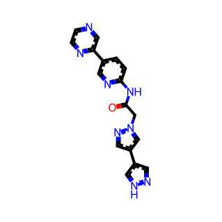 O=C(Cn1cc(-c2cn[nH]c2)cn1)Nc1ccc(-c2cnccn2)cn1